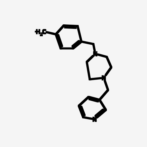 [CH2]c1ccc(CN2CCN(Cc3cccnc3)CC2)cc1